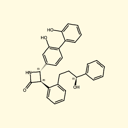 O=C1N[C@H](c2ccc(-c3ccccc3O)c(O)c2)[C@H]1c1ccccc1CC[C@H](O)c1ccccc1